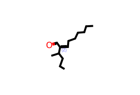 CCCCCC/C=C(\C=O)C(C)CCC